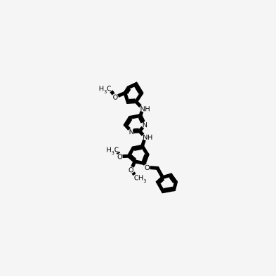 COc1cccc(Nc2ccnc(Nc3cc(OC)c(OC)c(OCc4ccccc4)c3)n2)c1